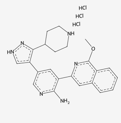 COc1nc(-c2cc(-c3c[nH]nc3C3CCNCC3)cnc2N)cc2ccccc12.Cl.Cl.Cl